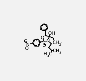 [CH2]CC(O)(Cc1ccccc1)N(CCC(C)C)S(=O)(=O)c1ccc([N+](=O)[O-])cc1